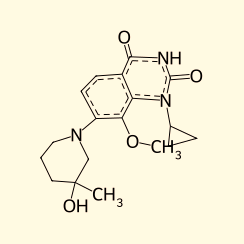 COc1c(N2CCCC(C)(O)C2)ccc2c(=O)[nH]c(=O)n(C3CC3)c12